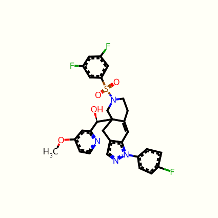 COc1ccnc([C@@H](O)C23Cc4cnn(-c5ccc(F)cc5)c4C=C2CCN(S(=O)(=O)c2cc(F)cc(F)c2)C3)c1